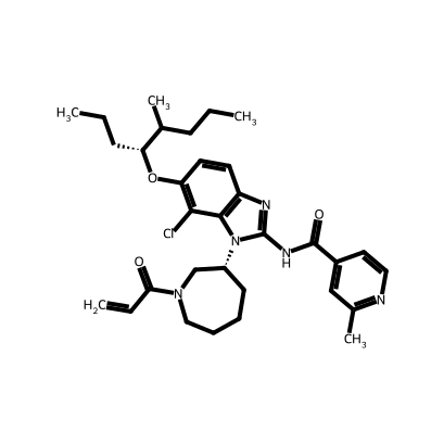 C=CC(=O)N1CCCC[C@@H](n2c(NC(=O)c3ccnc(C)c3)nc3ccc(O[C@H](CCC)C(C)CCC)c(Cl)c32)C1